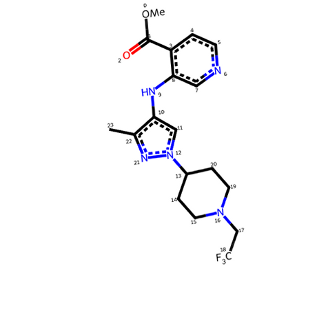 COC(=O)c1ccncc1Nc1cn(C2CCN(CC(F)(F)F)CC2)nc1C